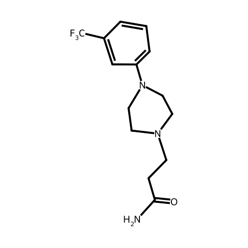 NC(=O)CCN1CCN(c2cccc(C(F)(F)F)c2)CC1